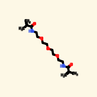 C=C(C)C(=O)NCCOCCOCCOCCNC(=O)C(=C)C